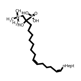 CCCCCCC/C=C\CCC/C=C\CCCCCCCC(O)(C[N+](C)(C)C)P(=O)(O)O